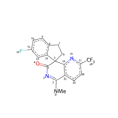 CNC1=NC(=O)C2(CCc3ccc(F)cc32)c2nc(C(F)(F)F)ccc21